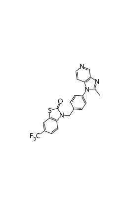 Cc1nc2cnccc2n1-c1ccc(Cn2c(=O)sc3cc(C(F)(F)F)ccc32)cc1